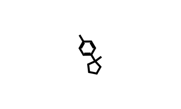 Cc1ccc(C2(C)CCCC2)cc1